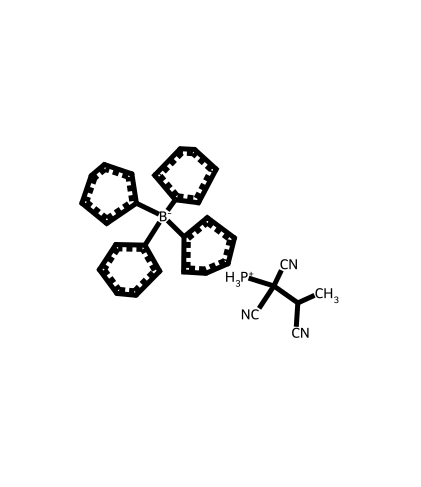 CC(C#N)C([PH3+])(C#N)C#N.c1ccc([B-](c2ccccc2)(c2ccccc2)c2ccccc2)cc1